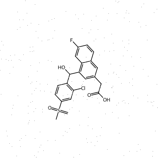 C=S(C)(=O)c1ccc(C(O)c2cc(CC(=O)O)cc3ccc(F)cc23)c(Cl)c1